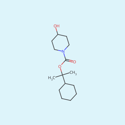 CC(C)(OC(=O)N1CCC(O)CC1)C1CCCCC1